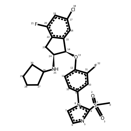 CS(=O)(=O)c1nccn1-c1ccc(O[C@@H]2c3cc(Cl)cc(F)c3C[C@@H]2NC2CCCC2)c(F)c1